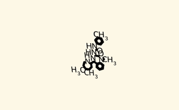 Cc1cccc(NC(=O)NC2N=C(C3CCC(C)(C)CCN3)c3ccccc3N(C)C2=O)c1